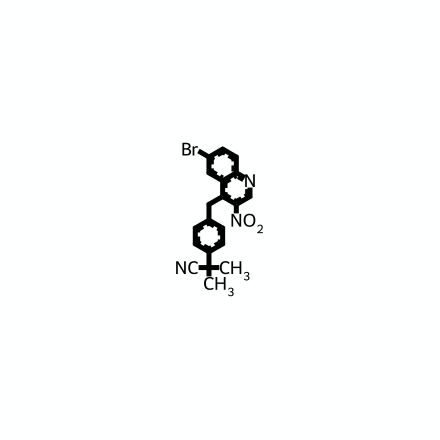 CC(C)(C#N)c1ccc(Cc2c([N+](=O)[O-])cnc3ccc(Br)cc23)cc1